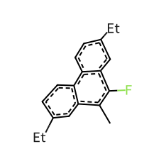 CCc1ccc2c(c1)c(C)c(F)c1cc(CC)ccc12